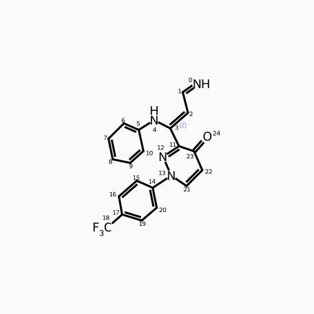 N=C/C=C(\Nc1ccccc1)c1nn(-c2ccc(C(F)(F)F)cc2)ccc1=O